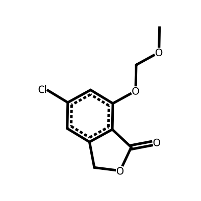 COCOc1cc(Cl)cc2c1C(=O)OC2